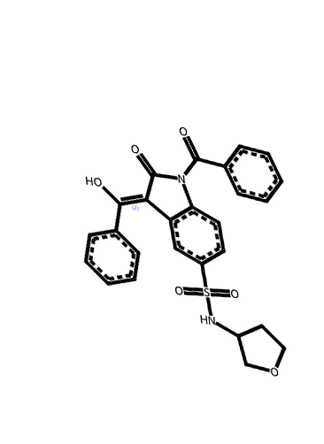 O=C1/C(=C(\O)c2ccccc2)c2cc(S(=O)(=O)NC3CCOC3)ccc2N1C(=O)c1ccccc1